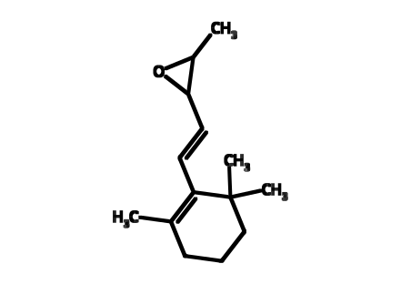 CC1=C(C=CC2OC2C)C(C)(C)CCC1